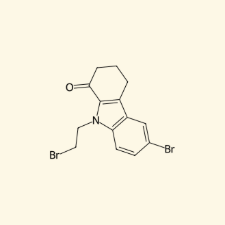 O=C1CCCc2c1n(CCBr)c1ccc(Br)cc21